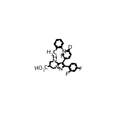 Cc1ccccc1-n1nc(-c2c(-c3ccc(F)cc3F)nn3c2NCC(C(=O)O)C3)ccc1=O